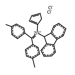 Cc1ccc([C](c2ccc(C)cc2)=[Zr+2]([C]2=CC=CC2)[CH]2c3ccccc3-c3ccccc32)cc1.[Cl-].[Cl-]